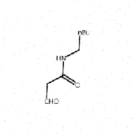 CCCCCNC(=O)C[C]=O